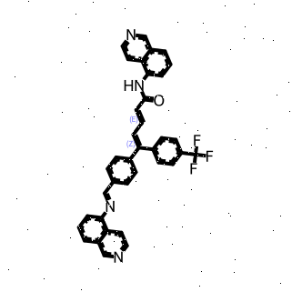 O=C(/C=C/C=C(/c1ccc(C=Nc2cccc3cnccc23)cc1)c1ccc(C(F)(F)F)cc1)Nc1cccc2cnccc12